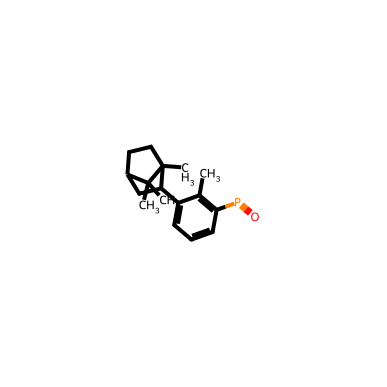 Cc1c(P=O)cccc1C1CC2CCC1(C)C2(C)C